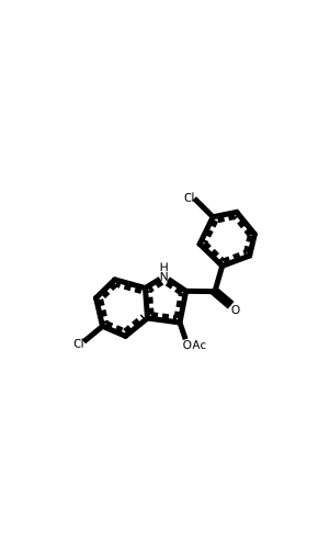 CC(=O)Oc1c(C(=O)c2cccc(Cl)c2)[nH]c2ccc(Cl)cc12